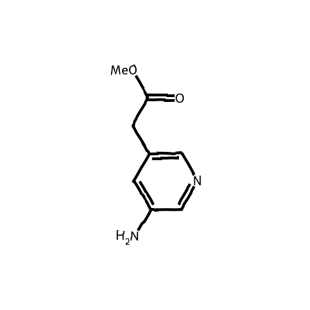 COC(=O)Cc1cncc(N)c1